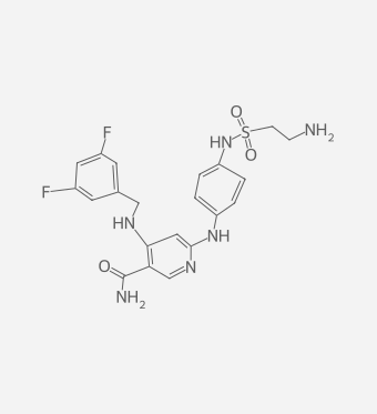 NCCS(=O)(=O)Nc1ccc(Nc2cc(NCc3cc(F)cc(F)c3)c(C(N)=O)cn2)cc1